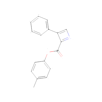 Cc1ccc(OC(=O)C2=NC=C2c2ccccc2)cc1